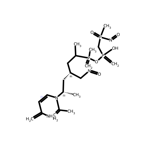 C=C(N)/C=C\N(C(=C)C)[C@@H](C)C[C@@H](CN=O)CC(C)P(=C)(C)OP(=C)(O)CP(C)(=O)N=O